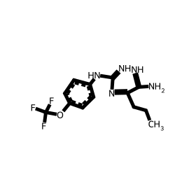 CCCC(=NC(=N)Nc1ccc(OC(F)(F)F)cc1)C(=N)N